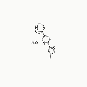 Br.Cc1csc(-c2ccc(C34C=CCN(CC3)C4)cn2)c1